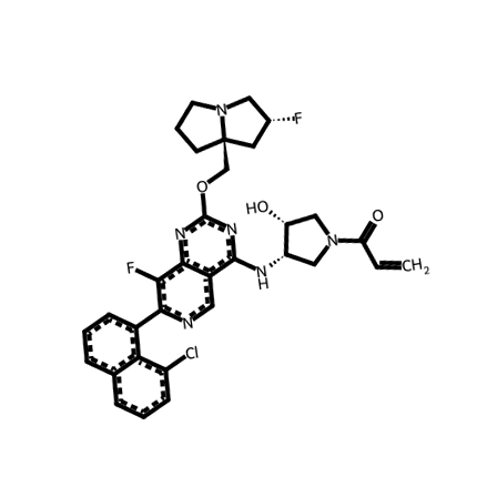 C=CC(=O)N1C[C@@H](O)[C@@H](Nc2nc(OC[C@@]34CCCN3C[C@H](F)C4)nc3c(F)c(-c4cccc5cccc(Cl)c45)ncc23)C1